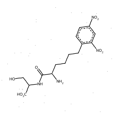 NC(CCCCc1ccc([N+](=O)[O-])cc1[N+](=O)[O-])C(=O)NC(CO)C(=O)O